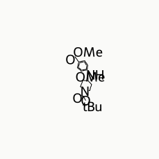 COC(=O)c1ccc(NC2CCN(C(=O)OC(C)(C)C)CC2)c(OC)c1